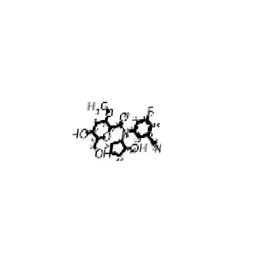 COC1CC(O)C(CO)OC1C(=O)N(c1cc(F)cc(C#N)c1)[C@H]1CCC[C@@H]1O